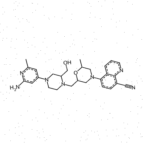 Cc1cc(N2CCN(CC3CN(c4ccc(C#N)c5ncccc45)CC(C)O3)C(CO)C2)cc(N)n1